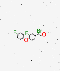 O=CC(Br)c1ccc(Oc2ccc(F)cc2)c(F)c1